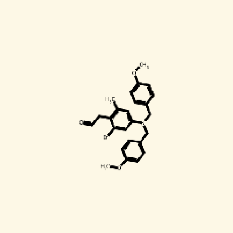 COc1ccc(CN(Cc2ccc(OC)cc2)c2cc(C)c(CC=O)c(Br)c2)cc1